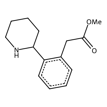 COC(=O)Cc1ccccc1C1CCCCN1